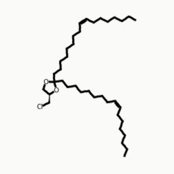 CCCCCCC/C=C\CCCCCCCCC1(CCCCCCCC/C=C\CCCCCCC)OC[C@H](CCl)O1